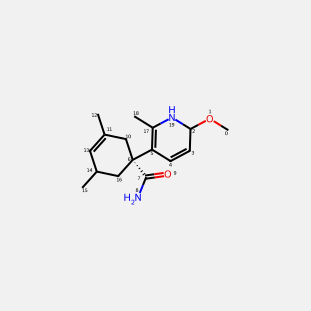 COC1C=CC([C@]2(C(N)=O)CC(C)=CC(C)C2)=C(C)N1